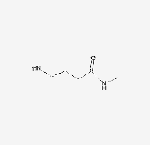 CNC(=O)CCC[NH]